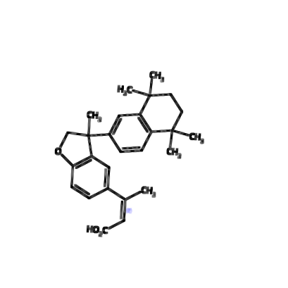 C/C(=C/C(=O)O)c1ccc2c(c1)C(C)(c1ccc3c(c1)C(C)(C)CCC3(C)C)CO2